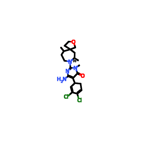 CC1CCN(c2nc(N)c(C3C=C(Cl)C(Cl)=CC3)c(=O)n2C)[C@H](C)CC12CCOC2